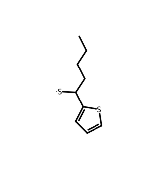 CCCCC([S])c1cccs1